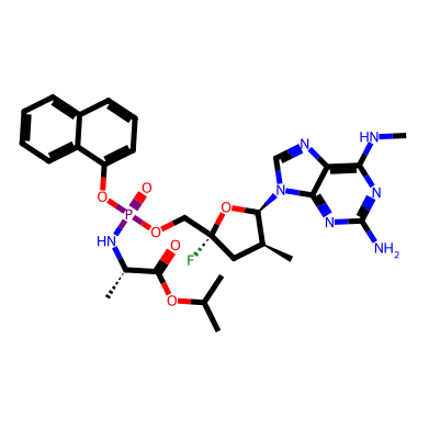 CNc1nc(N)nc2c1ncn2[C@@H]1O[C@](F)(COP(=O)(N[C@@H](C)C(=O)OC(C)C)Oc2cccc3ccccc23)C[C@@H]1C